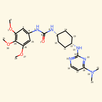 COc1cc(NC(=O)N[C@H]2CC[C@@H](Nc3nccc(N(C)C)n3)CC2)cc(OC)c1OC